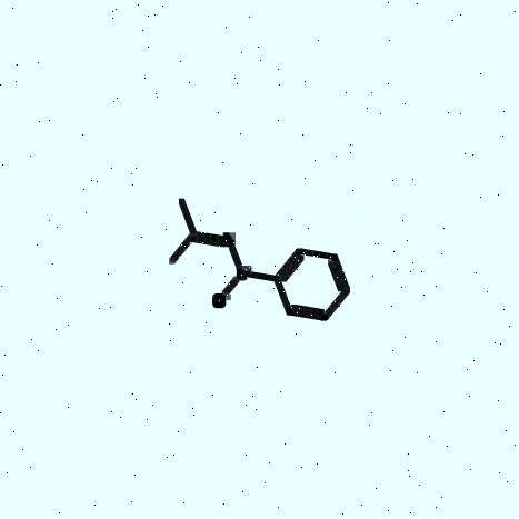 CC(C)=N[S+]([O-])c1ccccc1